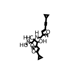 CC(NCc1cc(C#CC2CC2)on1)(C(=O)NO)C(O)c1cc(C2CC2)on1